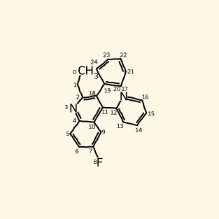 CCc1nc2ccc(F)cc2c(-c2ccccn2)c1-c1ccccc1